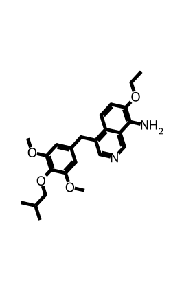 CCOc1ccc2c(Cc3cc(OC)c(OCC(C)C)c(OC)c3)cncc2c1N